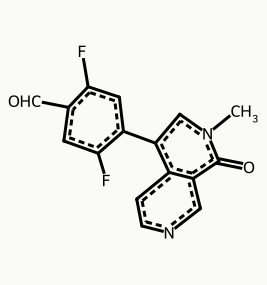 Cn1cc(-c2cc(F)c(C=O)cc2F)c2ccncc2c1=O